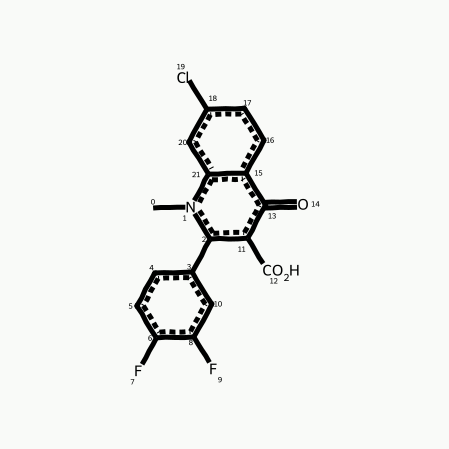 Cn1c(-c2ccc(F)c(F)c2)c(C(=O)O)c(=O)c2ccc(Cl)cc21